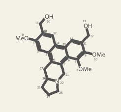 COc1cc2c3c(c4c(OC)c(OC)c(CO)cc4c2cc1CO)CN1CCCC1C3